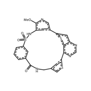 COc1ncc2cc1NS(=O)(=O)c1cccc(c1)C(=O)NCc1csc(c1)-c1ncnc3cc-2sc13